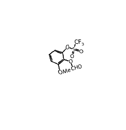 COc1cccc(OS(=O)(=O)C(F)(F)F)c1OC=O